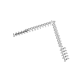 [Cl-].[Cl-].[Cl-].[Cl-].[Cl-].[Cl-].[Cl-].[Cl-].[Cl-].[Cl-].[Cl-].[Cl-].[Cl-].[Cl-].[Cl-].[Cl-].[Cl-].[Cl-].[Cl-].[Cl-].[La+3].[La+3].[La+3].[La+3].[La+3].[La+3].[La+3].[La+3].[La+3].[La+3]